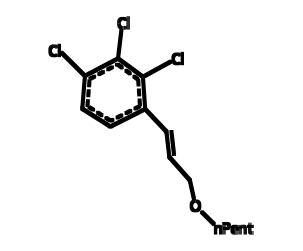 [CH2]CCCCOCC=Cc1ccc(Cl)c(Cl)c1Cl